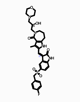 Cc1c(/C=C2\C(=O)Nc3ccc(S(=O)(=O)Cc4ccc(F)cc4)cc32)[nH]c2c1C(=O)N(C[C@H](O)CN1CCOCC1)CCC2